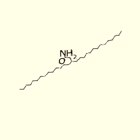 CCCCCCCCCCCCCCC(CCCCCCCCCCCCCC)CC(N)=O